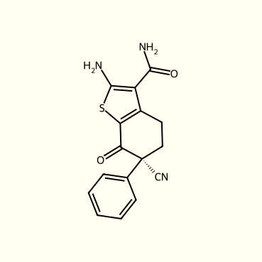 N#C[C@@]1(c2ccccc2)CCc2c(sc(N)c2C(N)=O)C1=O